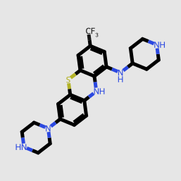 FC(F)(F)c1cc(NC2CCNCC2)c2c(c1)Sc1cc(N3CCNCC3)ccc1N2